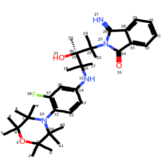 CC1(C)OC(C)(C)C(C)(C)N(c2ccc(NC(C)(C)[C@@](C)(O)C(C)(C)N3C(=N)c4ccccc4C3=O)cc2F)C1(C)C